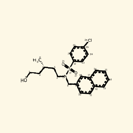 C[C@@H](CCO)CCN(Cc1ccc2ccccc2c1)S(=O)(=O)c1ccc(Cl)cc1